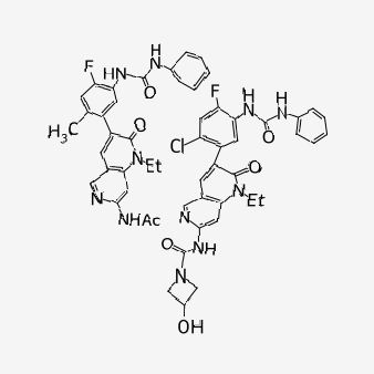 CCn1c(=O)c(-c2cc(NC(=O)Nc3ccccc3)c(F)cc2C)cc2cnc(NC(C)=O)cc21.CCn1c(=O)c(-c2cc(NC(=O)Nc3ccccc3)c(F)cc2Cl)cc2cnc(NC(=O)N3CC(O)C3)cc21